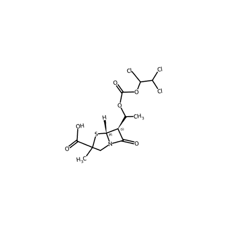 CC(OC(=O)OC(Cl)C(Cl)Cl)[C@H]1C(=O)N2CC(C)(C(=O)O)S[C@H]12